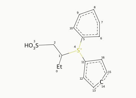 CCC(CS(=O)(=O)O)[S+](c1ccccc1)c1ccccc1